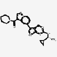 C[C@@H](Nc1ncc2c(-c3ccn4ncc(C(=O)N5CCCCC5)c4c3)c[nH]c2n1)C1CC1